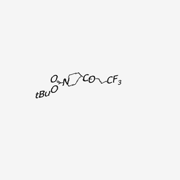 CC(C)(C)OC(=O)N1CCC(COCCC(F)(F)F)CC1